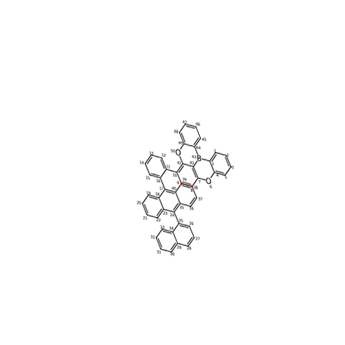 c1ccc2c(c1)Oc1ccc(-c3ccccc3-c3c4ccccc4c(-c4cccc5ccccc45)c4ccccc34)c3c1B2c1ccccc1O3